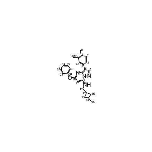 Cc1ccc(-c2cnn3c(NCC4CC(C)C4)cc(Oc4cccnc4)nc23)cc1C